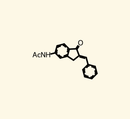 CC(=O)Nc1ccc2c(c1)CC(=Cc1ccccc1)C2=O